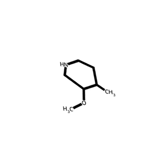 COC1CNCCC1C